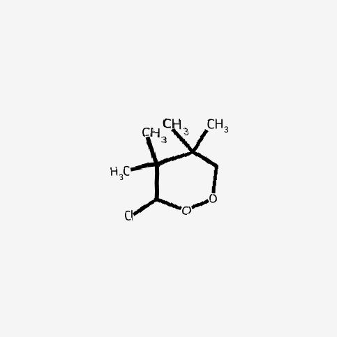 CC1(C)COOC(Cl)C1(C)C